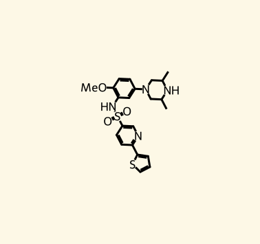 COc1ccc(N2CC(C)NC(C)C2)cc1NS(=O)(=O)c1ccc(-c2cccs2)nc1